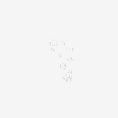 N#CCC1(n2cc(-c3ncnc4[nH]ccc34)cn2)CC(N2CCC(Nc3cc(CN4CC(O)C4)cc(C(F)(F)F)n3)CC2)C1